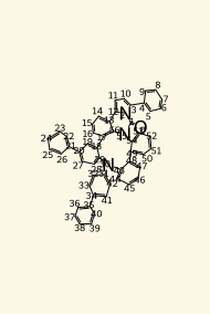 O=c1n2c(-c3ccccc3)ccc2c2cccc3c4cc(-c5ccccc5)ccc4n(-c4ccc(-c5ccccc5)cc4)c4ccccc4c4ccccc4n1c32